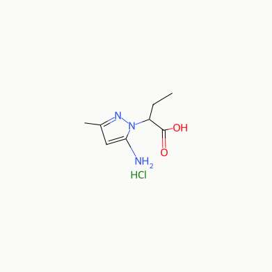 CCC(C(=O)O)n1nc(C)cc1N.Cl